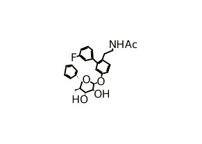 CC(=O)NCCc1ccc(O[C@@H]2O[C@@H](c3ccccc3)[C@H](C)[C@@H](O)[C@H]2O)cc1-c1cccc(F)c1